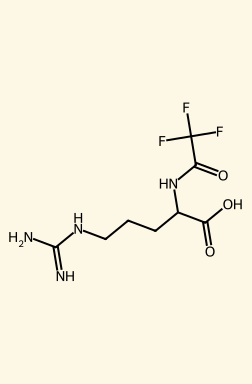 N=C(N)NCCCC(NC(=O)C(F)(F)F)C(=O)O